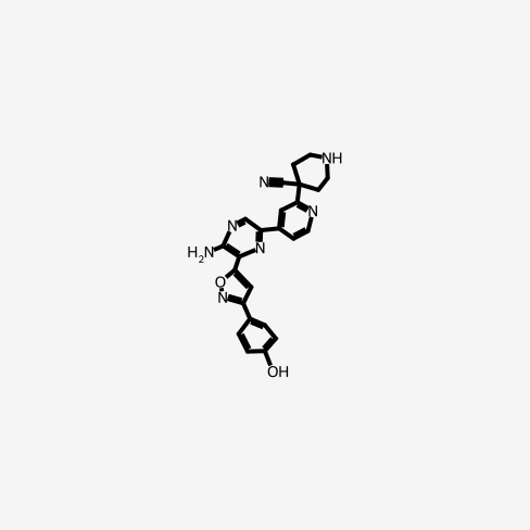 N#CC1(c2cc(-c3cnc(N)c(-c4cc(-c5ccc(O)cc5)no4)n3)ccn2)CCNCC1